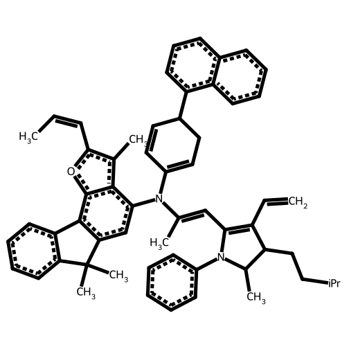 C=CC1=C(/C=C(\C)N(C2=CCC(c3cccc4ccccc34)C=C2)c2cc3c(c4oc(/C=C\C)c(C)c24)-c2ccccc2C3(C)C)N(c2ccccc2)C(C)C1CCC(C)C